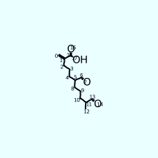 C=C(CCCC(C=O)CCCC(C)C=O)C(=O)O